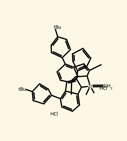 CC1=Cc2c(-c3ccc(C(C)(C)C)cc3)ccc(C)c2[CH]1[Zr]([CH3])([CH3])(=[SiH2])[CH]1C(c2ccccc2)=Cc2c(-c3ccc(C(C)(C)C)cc3)cccc21.Cl.Cl